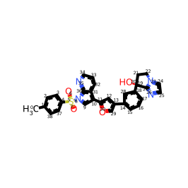 Cc1ccc(S(=O)(=O)n2cc(-c3cc(-c4cccc([C@]5(O)CCn6ccnc65)c4)co3)c3cccnc32)cc1